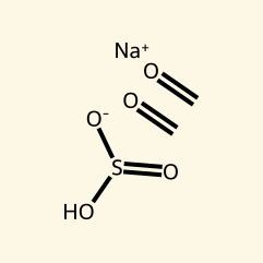 C=O.C=O.O=S([O-])O.[Na+]